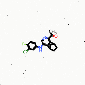 CC(=O)c1ncc(Nc2ccc(F)c(Cl)c2)c2c1C1CCC2C1